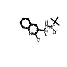 C[C@H](N[S@@+]([O-])C(C)(C)C)c1cc2ccccc2nc1Cl